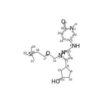 Cn1cc(Nc2cc(C3CCC(O)C3)n(COCC[Si](C)(C)C)n2)ccc1=O